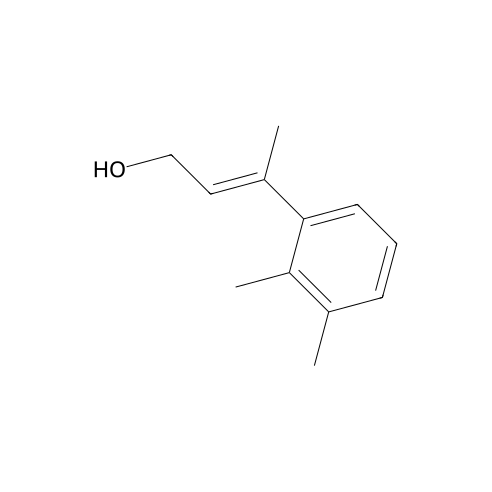 CC(=CCO)c1cccc(C)c1C